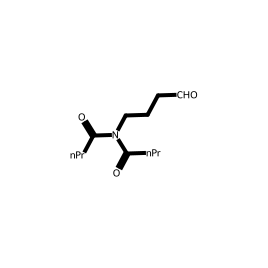 CCCC(=O)N(CCCC=O)C(=O)CCC